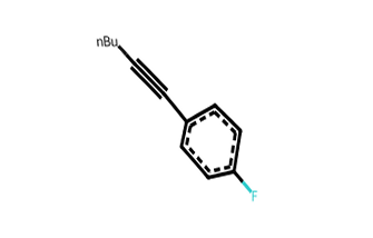 CCCCC#Cc1ccc(F)cc1